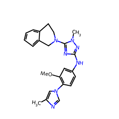 COc1cc(Nc2nc(N3CCc4ccccc4C3)n(C)n2)ccc1-n1cnc(C)c1